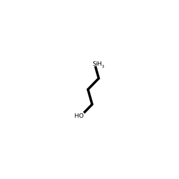 OCCC[SiH3]